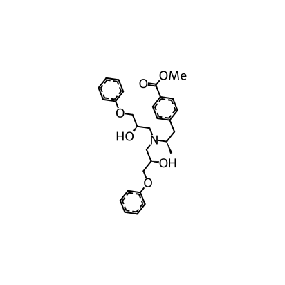 COC(=O)c1ccc(C[C@@H](C)N(C[C@@H](O)COc2ccccc2)C[C@@H](O)COc2ccccc2)cc1